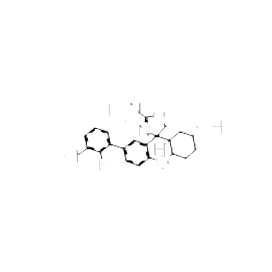 NC1=NC2(CO1)c1cc(-c3cccc(Cl)c3F)ccc1OC1CC[C@H](O)C[C@@H]12